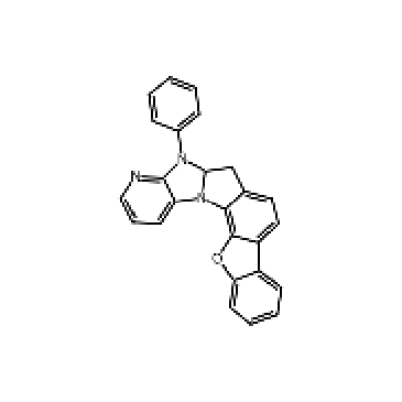 c1ccc(N2c3ncccc3N3c4c(ccc5c4oc4ccccc45)CC23)cc1